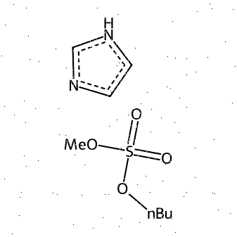 CCCCOS(=O)(=O)OC.c1c[nH]cn1